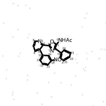 CC(=O)Nc1oc(-c2ncccc2-c2cccc([N+](=O)[O-])c2)nc1-c1ccccc1